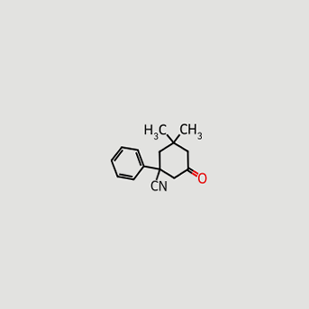 CC1(C)CC(=O)CC(C#N)(c2ccccc2)C1